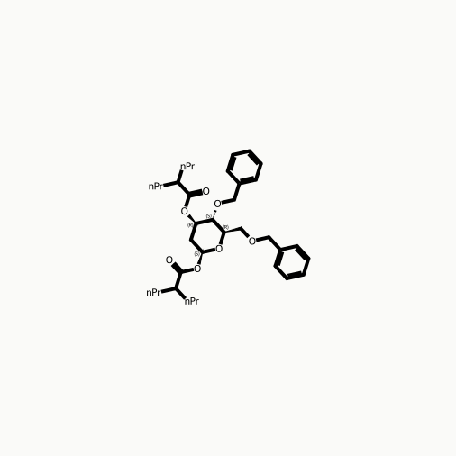 CCCC(CCC)C(=O)O[C@H]1C[C@@H](OC(=O)C(CCC)CCC)[C@H](OCc2ccccc2)[C@@H](COCc2ccccc2)O1